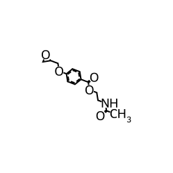 CC(=O)NCCOC(=O)c1ccc(OCC2CO2)cc1